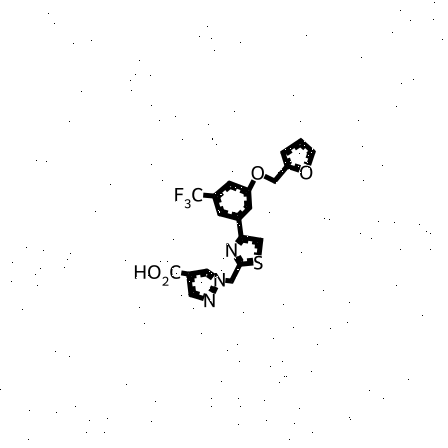 O=C(O)c1cnn(Cc2nc(-c3cc(OCc4ccco4)cc(C(F)(F)F)c3)cs2)c1